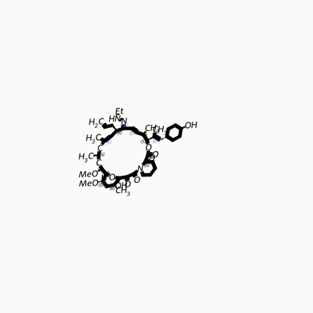 C=CC[C@@H]1/C=C(\C)C[C@H](C)C[C@H](OC)[C@H]2O[C@@](O)(C(=O)C(=O)N3CCCC[C@H]3C(=O)O[C@H](/C(C)=C/[C@H]3CC[C@H](O)CC3)[C@H](C)/C=C/C1=N/NCC)[C@H](C)C[C@@H]2OC